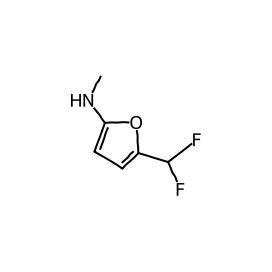 CNc1ccc(C(F)F)o1